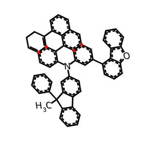 CC1(c2ccccc2)c2ccccc2-c2ccc(N(c3cccc(-c4cccc5oc6ccccc6c45)c3)c3ccccc3-c3cccc4cccc(C5=CC=CCC5)c34)cc21